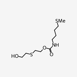 CSCCCCNC(=O)OCCSCCO